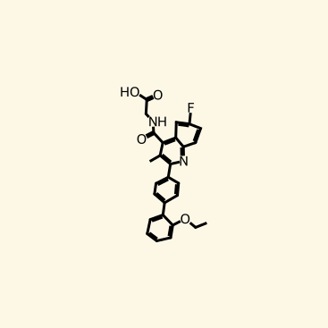 CCOc1ccccc1-c1ccc(-c2nc3ccc(F)cc3c(C(=O)NCC(=O)O)c2C)cc1